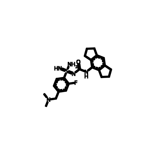 CN(C)Cc1ccc(S(=N)(N)=NC(=O)Nc2c3c(cc4c2CCC4)CCC3)c(F)c1